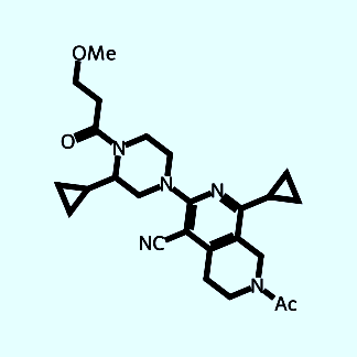 COCCC(=O)N1CCN(c2nc(C3CC3)c3c(c2C#N)CCN(C(C)=O)C3)CC1C1CC1